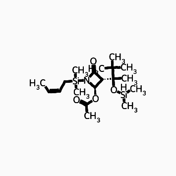 C/C=C\C[Si](C)(C)N1C(=O)[C@H](C(C)(O[SiH](C)C)C(C)(C)C)[C@H]1OC(C)=O